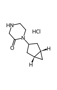 Cl.O=C1CNCCN1C1C[C@@H]2C[C@@H]2C1